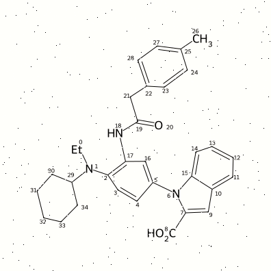 CCN(c1ccc(-n2c(C(=O)O)cc3ccccc32)cc1NC(=O)Cc1ccc(C)cc1)C1CCCCC1